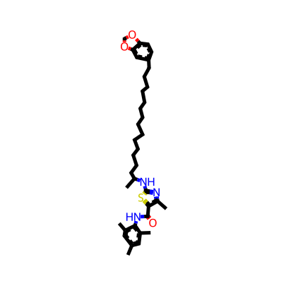 Cc1cc(C)c(NC(=O)c2sc(NC(C)CCCCCCCCCCCCCCc3ccc4c(c3)OCO4)nc2C)c(C)c1